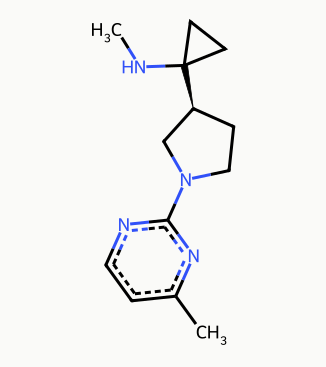 CNC1([C@H]2CCN(c3nccc(C)n3)C2)CC1